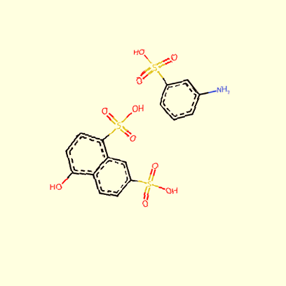 Nc1cccc(S(=O)(=O)O)c1.O=S(=O)(O)c1ccc2c(O)ccc(S(=O)(=O)O)c2c1